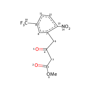 COC(=O)CC(=O)Cc1cc(C(F)(F)F)ccc1[N+](=O)[O-]